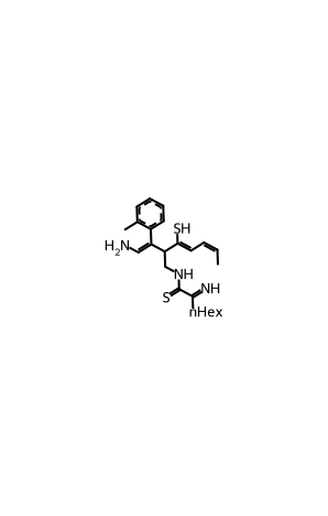 C/C=C\C=C(/S)C(CNC(=S)C(=N)CCCCCC)/C(=C/N)c1ccccc1C